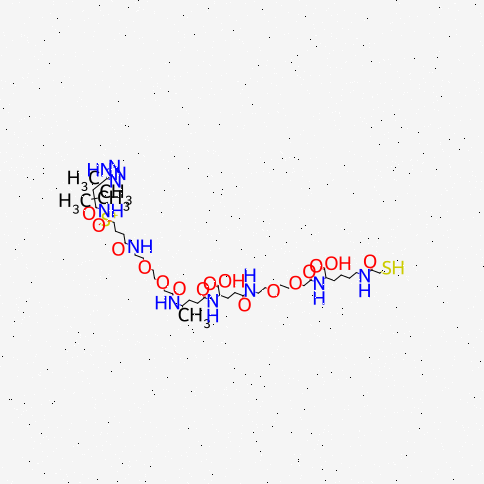 CC(CCC(=O)NC(CCC(=O)NCCOCCOCC(=O)NC(CCCCNC(=O)CS)C(=O)O)C(=O)O)NC(=O)COCCOCCNC(=O)CCC[S+]([O-])NC(=O)C(C)(C)CC(C)(C)c1nnn[nH]1